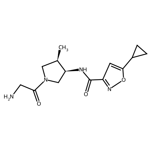 C[C@@H]1CN(C(=O)CN)C[C@@H]1NC(=O)c1cc(C2CC2)on1